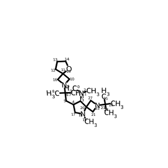 CN(C)[C@@H]1C(CC(C)(C)N2CC3(CCCO3)C2)CN(C)C12CN(C(C)(C)C)C2